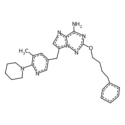 Cc1cc(Cc2cnc3c(N)nc(OCCCCc4ccccc4)nn23)cnc1N1CCCCC1